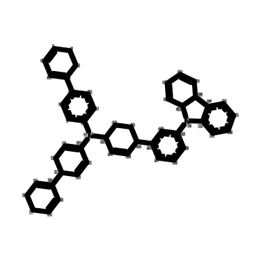 C1=CCCC(c2ccc(N(C3=CCC(C4=CCCC=C4)C=C3)C3C=CC(c4cccc(N5c6ccccc6C6C=CC=CC65)c4)CC3)cc2)=C1